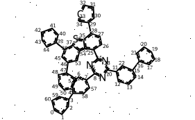 c1ccc(-c2ccc(-c3nc(-c4cccc(-c5ccccc5)c4)nc(-c4ccc(-c5ccccc5)c5sc6c(-c7ccccc7)cc(-c7ccccc7)cc6c45)n3)cc2)cc1